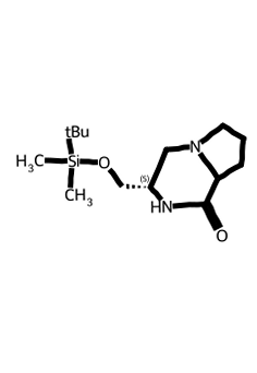 CC(C)(C)[Si](C)(C)OC[C@@H]1CN2CCCC2C(=O)N1